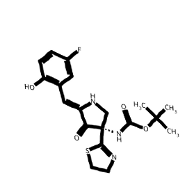 CC(C)(C)OC(=O)N[C@@]1(C2=NCCS2)CN/C(=C\c2cc(F)ccc2O)C1=O